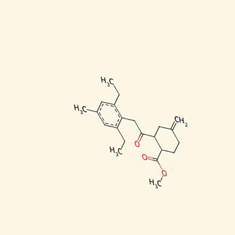 C=C1CCC(C(=O)OC)C(C(=O)Cc2c(CC)cc(C)cc2CC)C1